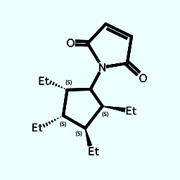 CC[C@H]1[C@H](CC)[C@H](CC)C(N2C(=O)C=CC2=O)[C@H]1CC